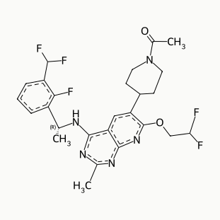 CC(=O)N1CCC(c2cc3c(N[C@H](C)c4cccc(C(F)F)c4F)nc(C)nc3nc2OCC(F)F)CC1